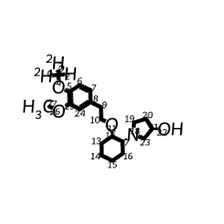 [2H]C([2H])([2H])Oc1ccc(CCO[C@@H]2CCCC[C@H]2N2CC[C@@H](O)C2)cc1OC